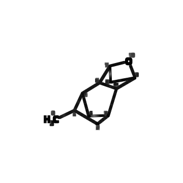 CC1CC2CC1C1C3CC(O3)C21